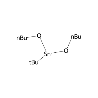 CCCC[O][Sn]([O]CCCC)[C](C)(C)C